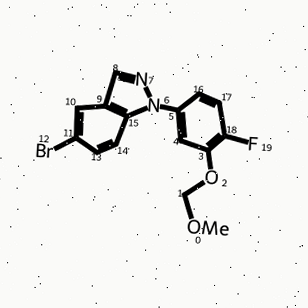 COCOc1cc(-n2ncc3cc(Br)ccc32)ccc1F